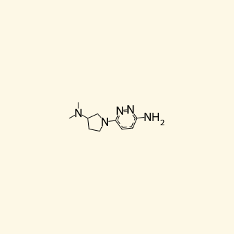 CN(C)C1CCN(c2ccc(N)nn2)C1